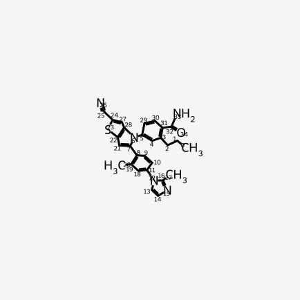 CCCc1cc(-n2c(-c3ccc(-n4ccnc4C)cc3C)cc3sc(C#N)cc32)ccc1C(N)=O